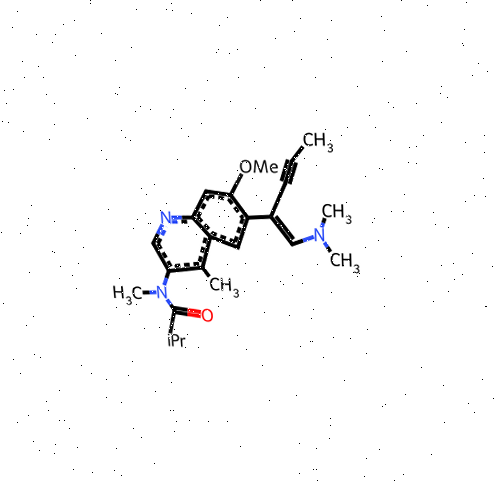 CC#C/C(=C\N(C)C)c1cc2c(C)c(N(C)C(=O)C(C)C)cnc2cc1OC